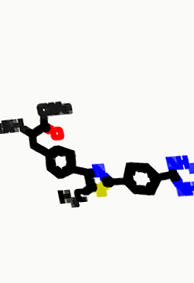 COC(=O)C(Cc1ccc(-c2nc(-c3ccc(C(=N)N)cc3)sc2C)cc1)NC(C)=O